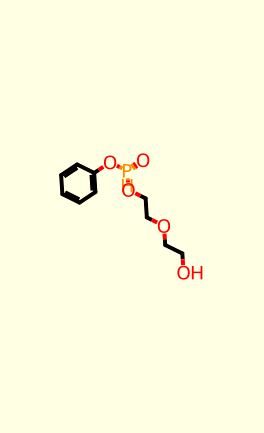 O=[PH](OCCOCCO)Oc1ccccc1